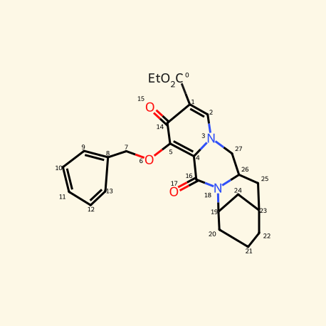 CCOC(=O)c1cn2c(c(OCc3ccccc3)c1=O)C(=O)N1C3CCCC(C3)CC1C2